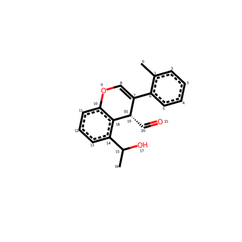 Cc1ccccc1C1=COc2cccc(C(C)O)c2[C@H]1C=O